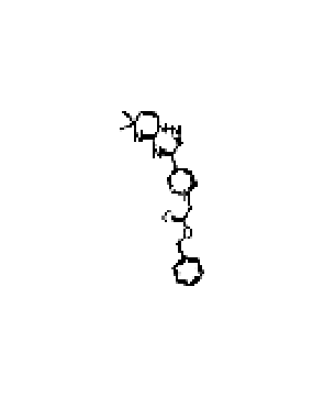 CC1(C)C=CN2N=CC(c3cc[n+](CC(=O)OCc4ccccc4)cc3)=NC2=N1